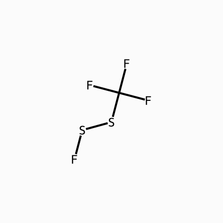 FSSC(F)(F)F